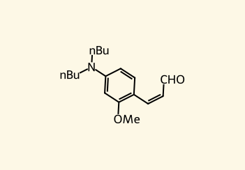 CCCCN(CCCC)c1ccc(/C=C\C=O)c(OC)c1